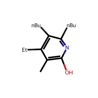 CCCCc1nc(O)c(C)c(CC)c1CCCC